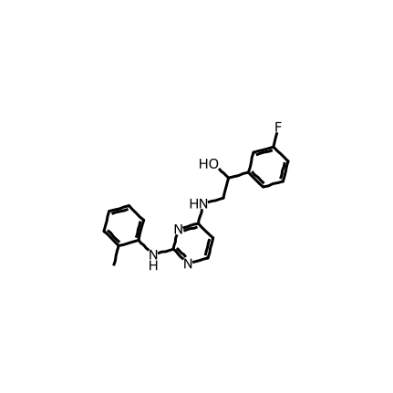 Cc1ccccc1Nc1nccc(NCC(O)c2cccc(F)c2)n1